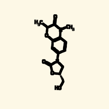 CC1Oc2cc(N3C[C@H](CO)OC3=O)ccc2N(C)C1=O